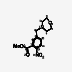 COC(=O)c1cc(CN2CCOCC2)ccc1[N+](=O)[O-]